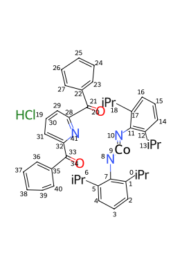 CC(C)c1cccc(C(C)C)c1[N]=[Co]=[N]c1c(C(C)C)cccc1C(C)C.Cl.O=C(c1ccccc1)c1cccc(C(=O)c2ccccc2)n1